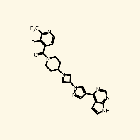 O=C(c1ccnc(C(F)(F)F)c1F)N1CCC(N2CC(n3cc(-c4ncnc5[nH]ccc45)cn3)C2)CC1